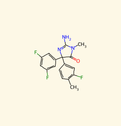 Cc1ccc(C2(c3cc(F)cc(F)c3)N=C(N)N(C)C2=O)cc1F